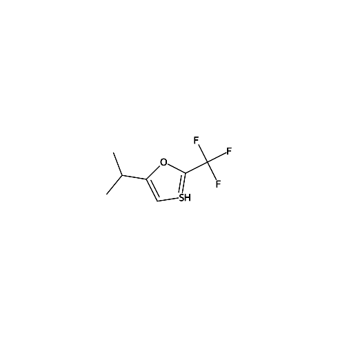 CC(C)C1=C[SH]=C(C(F)(F)F)O1